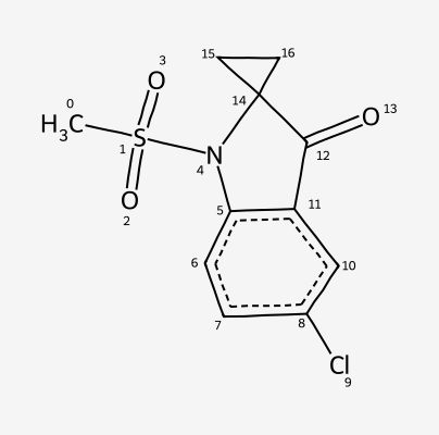 CS(=O)(=O)N1c2ccc(Cl)cc2C(=O)C12CC2